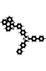 c1ccc(-c2ccc(-c3nc(-c4ccc(-c5ccccc5)cc4)nc(-c4ccc(-c5cccc(-c6nc7cccc(-c8ccccc8)c7c7c6sc6ccccc67)c5)cc4)n3)cc2)cc1